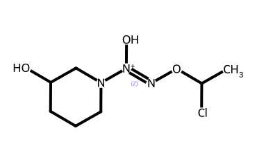 CC(Cl)O/N=[N+](\O)N1CCCC(O)C1